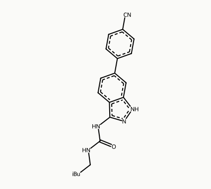 CCC(C)CNC(=O)Nc1n[nH]c2cc(-c3ccc(C#N)cc3)ccc12